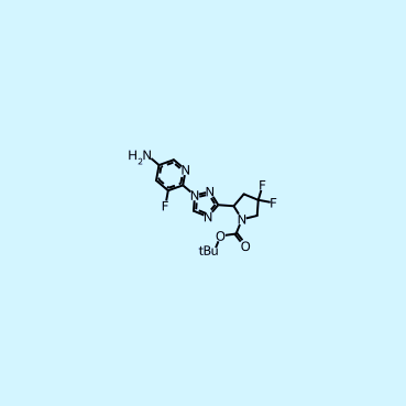 CC(C)(C)OC(=O)N1CC(F)(F)CC1c1ncn(-c2ncc(N)cc2F)n1